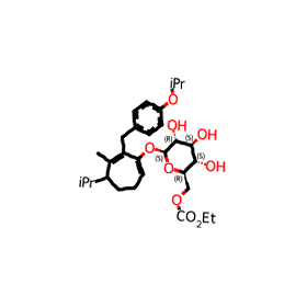 CCOC(=O)OC[C@H]1O[C@@H](OC2=CCCC(C(C)C)C(C)=C2Cc2ccc(OC(C)C)cc2)[C@H](O)[C@@H](O)[C@@H]1O